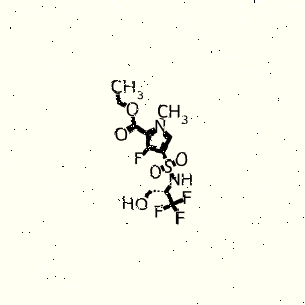 CCOC(=O)c1c(F)c(S(=O)(=O)N[C@@H](CO)C(F)(F)F)cn1C